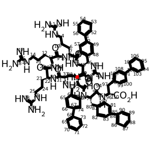 N=C(N)NCCC[C@H](NC(=O)[C@H](CCCNC(=N)N)NC(=O)[C@H](CCCNC(=N)N)NC(=O)[C@@H](N)CCCNC(=N)N)C(=O)N[C@@H](Cc1ccc(-c2ccccc2)cc1)C(=O)N[C@@H](Cc1ccc(-c2ccccc2)cc1)C(=O)N[C@@H](Cc1ccc(-c2ccccc2)cc1)C(=O)N[C@@H](Cc1ccc(-c2ccccc2)cc1)C(=O)O